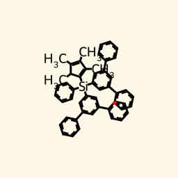 CC1=C(C)C(C)C([Si](c2ccccc2)(c2cc(-c3ccccc3)cc(-c3ccccc3)c2)c2cc(-c3ccccc3)cc(-c3ccccc3)c2)=C1C